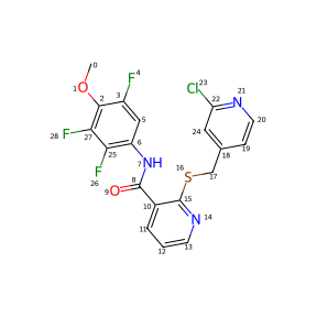 COc1c(F)cc(NC(=O)c2cccnc2SCc2ccnc(Cl)c2)c(F)c1F